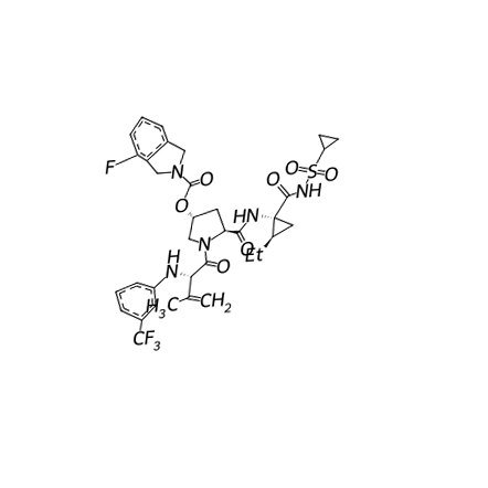 C=C(C)[C@H](Nc1cccc(C(F)(F)F)c1)C(=O)N1C[C@H](OC(=O)N2Cc3cccc(F)c3C2)C[C@H]1C(=O)N[C@]1(C(=O)NS(=O)(=O)C2CC2)C[C@H]1CC